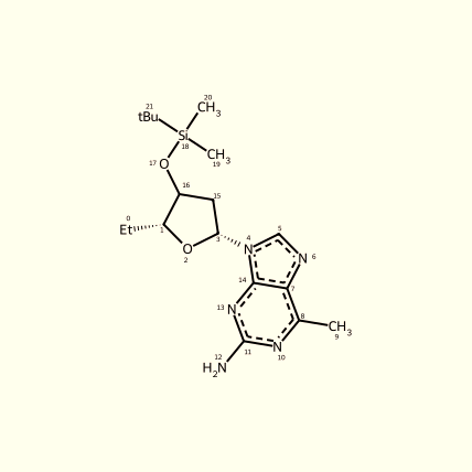 CC[C@H]1O[C@@H](n2cnc3c(C)nc(N)nc32)CC1O[Si](C)(C)C(C)(C)C